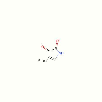 C=CC1=CNC(=O)C1=O